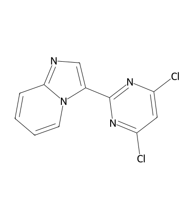 Clc1cc(Cl)nc(-c2cnc3ccccn23)n1